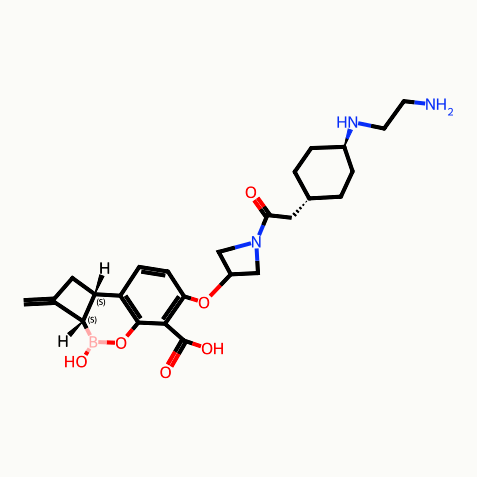 C=C1C[C@@H]2c3ccc(OC4CN(C(=O)C[C@H]5CC[C@H](NCCN)CC5)C4)c(C(=O)O)c3OB(O)[C@H]12